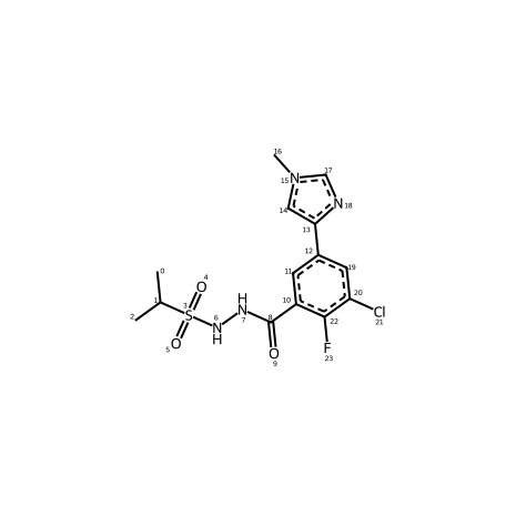 CC(C)S(=O)(=O)NNC(=O)c1cc(-c2cn(C)cn2)cc(Cl)c1F